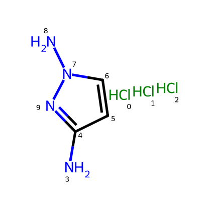 Cl.Cl.Cl.Nc1ccn(N)n1